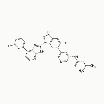 CC(C)CC(=O)Nc1cncc(-c2cc3c(-c4nc5c(-c6cccc(F)c6)ccnc5[nH]4)n[nH]c3cc2F)c1